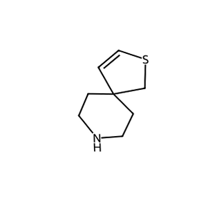 C1=CC2(CCNCC2)CS1